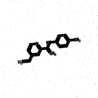 C=Cc1ccnc(C(=C)Nc2ccc(C)cc2)c1